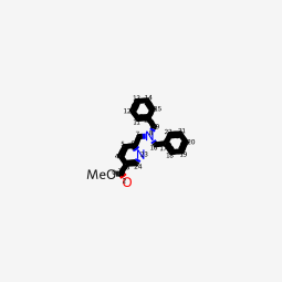 COC(=O)c1ccc(CN(Cc2ccccc2)Cc2ccccc2)nc1